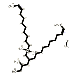 CC(=O)[O-].CCCCCCCC/C=C\CCCCCCCCC(CC(N)CO)C[N+](C)(C)CCCCCCCC/C=C\CCCCCCCC